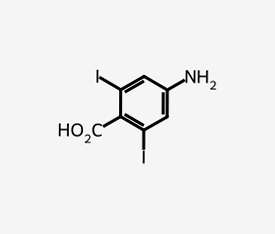 Nc1cc(I)c(C(=O)O)c(I)c1